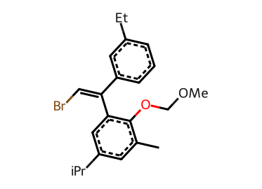 CCc1cccc(C(=CBr)c2cc(C(C)C)cc(C)c2OCOC)c1